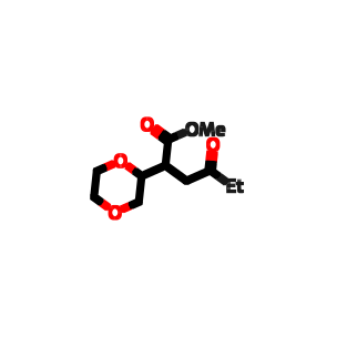 CCC(=O)CC(C(=O)OC)C1COCCO1